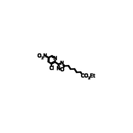 CCOC(=O)CCCCCc1nc(-c2ncc([N+](=O)[O-])cc2Cl)no1